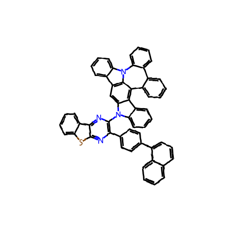 c1ccc2c(c1)-c1ccccc1-n1c3ccccc3c3cc4c(c-2c31)c1ccccc1n4-c1nc2c(nc1-c1ccc(-c3cccc4ccccc34)cc1)sc1ccccc12